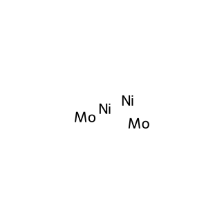 [Mo].[Mo].[Ni].[Ni]